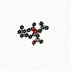 c1ccc(-c2cc(-c3cccc(-c4ccc(N5c6ccccc6B6c7ccccc7N(c7ccccc7)c7cccc5c76)cc4)c3)nc(-c3cc(-c4nc(-c5ccccc5)nc(-c5ccccc5)n4)ccc3-n3c4ccc(-c5nc(-c6ccccc6)nc(-c6ccccc6)n5)cc4c4cc(-c5nc(-c6ccccc6)nc(-c6ccccc6)n5)ccc43)n2)cc1